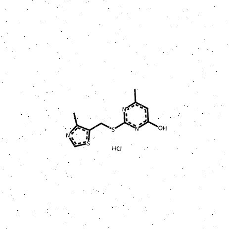 Cc1cc(O)nc(SCc2scnc2C)n1.Cl